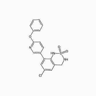 O=S1(=O)NCc2cc(Cl)cc(-c3ccc(Oc4ccccc4)nc3)c2N1